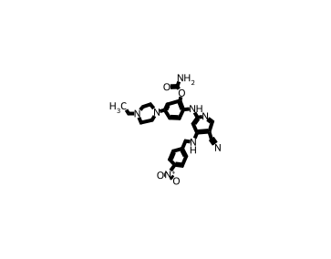 CCN1CCN(c2ccc(Nc3cc(NCc4ccc([N+](=O)[O-])cc4)c(C#N)cn3)c(OC(N)=O)c2)CC1